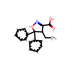 CCC1C(C(=O)O)=NOC1(c1ccccc1)c1ccccc1